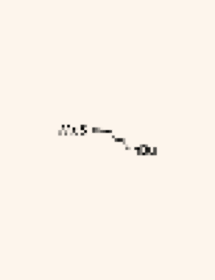 [CH2]CCCCCCCC#CSC